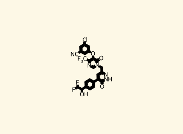 N#Cc1cc(Cl)cc(Oc2c(C(F)(F)F)ncn(Cc3cc(-c4ccc(C(O)C(F)F)cc4)c(=O)[nH]n3)c2=O)c1